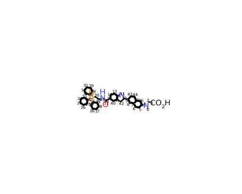 CN(CC(=O)O)c1ccc2cc(C3=Nc4ccc(C(=O)NCC[PH](c5ccccc5)(c5ccccc5)c5ccccc5)cc4C3)ccc2c1